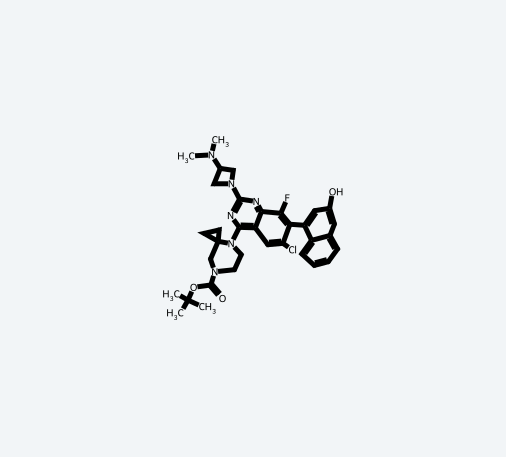 CN(C)C1CN(c2nc(N3CCN(C(=O)OC(C)(C)C)CC34CC4)c3cc(Cl)c(-c4cc(O)cc5ccccc45)c(F)c3n2)C1